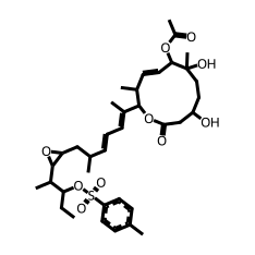 CCC(OS(=O)(=O)c1ccc(C)cc1)C(C)C1OC1CC(C)/C=C/C=C(\C)C1OC(=O)CC(O)CCC(C)(O)C(OC(C)=O)/C=C/C1C